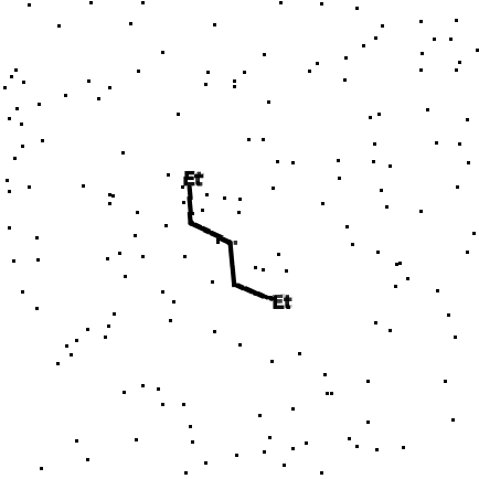 CCC[CH]CCC